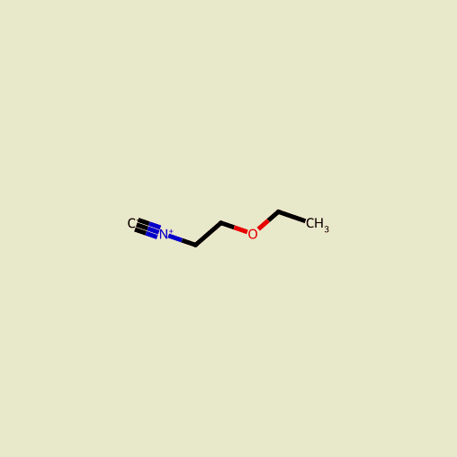 [C-]#[N+]CCOCC